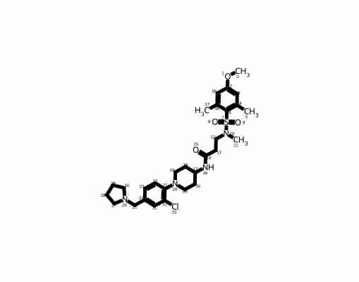 COc1cc(C)c(S(=O)(=O)N(C)CCC(=O)NC2CCN(c3ccc(CN4CCCC4)cc3Cl)CC2)c(C)c1